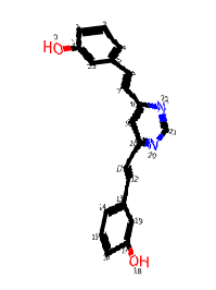 Oc1cccc(/C=C/c2cc(/C=C/c3cccc(O)c3)ncn2)c1